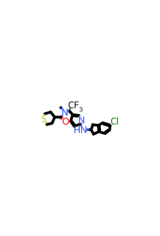 CN(C(=O)C1CCSCC1)[C@@H](c1ccc(NC2Cc3ccc(Cl)cc3C2)nc1)C(F)(F)F